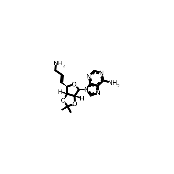 CC1(C)O[C@@H]2[C@H](O1)[C@@H](/C=C/CN)O[C@H]2n1cnc2c(N)ncnc21